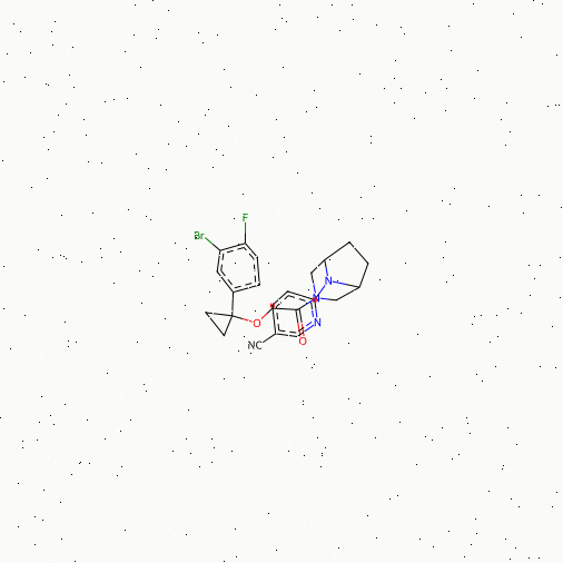 N#Cc1ccc(N2C3CCC2CN(C(=O)COC2(c4ccc(F)c(Br)c4)CC2)C3)nc1